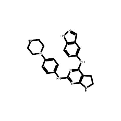 c1cc(N2CCNCC2)ccc1Nc1nc2c(c(Nc3ccc4[nH]ncc4c3)n1)CCN2